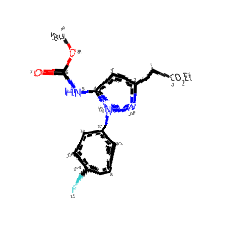 CCOC(=O)Cc1cc(NC(=O)OC(C)(C)C)n(-c2ccc(F)cc2)n1